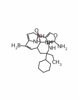 BC1=C/C2CC(CC)(C3CCCCC3)NNC2NC\C=C\1NC(=O)c1coc(N)n1